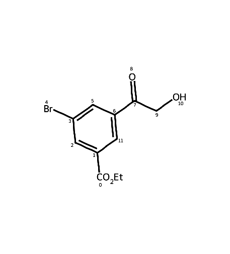 CCOC(=O)c1cc(Br)cc(C(=O)CO)c1